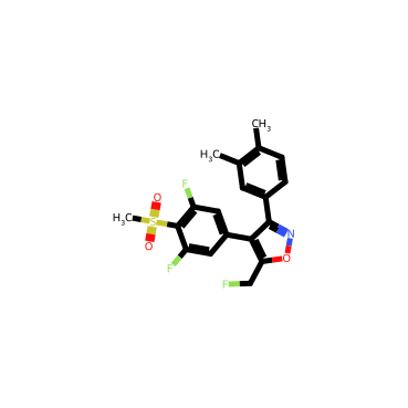 Cc1ccc(-c2noc(CF)c2-c2cc(F)c(S(C)(=O)=O)c(F)c2)cc1C